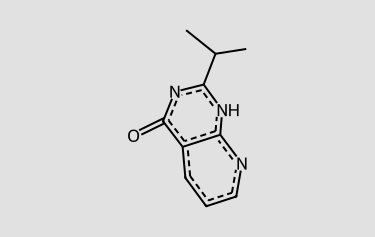 CC(C)c1nc(=O)c2cccnc2[nH]1